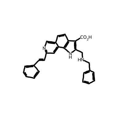 O=C(O)c1c(CNCc2ccccc2)[nH]c2c1ccc1cnc(/C=C/c3ccccc3)cc12